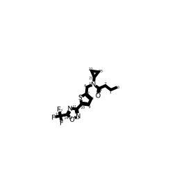 CCCC(=O)N(Cc1ccc(-c2noc(C(F)(F)F)n2)s1)C1CC1